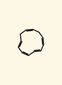 [CH]1/C=C\C\C=C/C=C/C=C\C=C\1